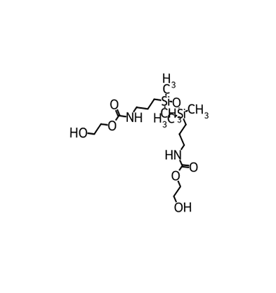 C[Si](C)(CCCNC(=O)OCCO)O[Si](C)(C)CCCNC(=O)OCCO